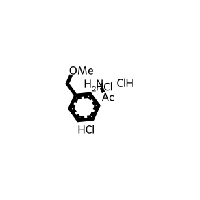 CC(N)=O.COCc1ccccc1.Cl.Cl.Cl